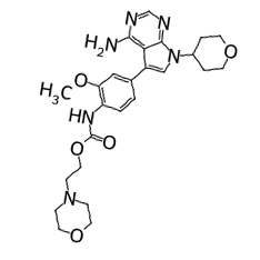 COc1cc(-c2cn(C3CCOCC3)c3ncnc(N)c23)ccc1NC(=O)OCCN1CCOCC1